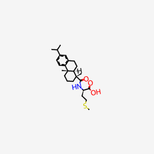 CSCC[C@@H](NC(=O)[C@]1(C)CCC[C@]2(C)c3ccc(C(C)C)cc3CC[C@@H]12)C(=O)O